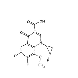 COc1c(F)c(F)cc2c(=O)c(C(=O)O)cn(C3C[C@@H]3F)c12